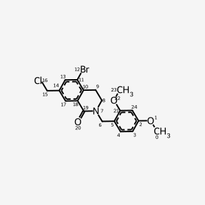 COc1ccc(CN2CCc3c(Br)cc(CCl)cc3C2=O)c(OC)c1